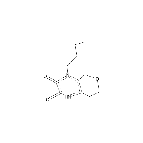 CCCCn1c2c([nH]c(=O)c1=O)CCOC2